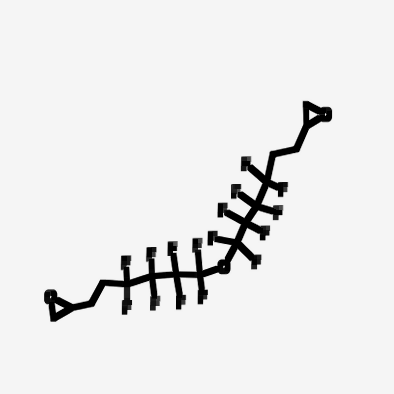 FC(F)(CCC1CO1)C(F)(F)C(F)(F)C(F)(F)OC(F)(F)C(F)(F)C(F)(F)C(F)(F)CCC1CO1